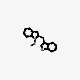 ISn1c(Cc2c[nH]c3ccccc23)cc2ccccc21